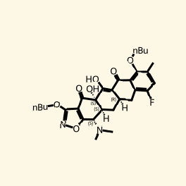 CCCCOc1noc2c1C(=O)[C@@]1(O)C(O)=C3C(=O)c4c(c(F)cc(C)c4OCCCC)C[C@H]3C[C@H]1[C@@H]2N(C)C